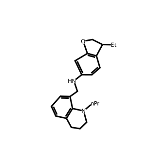 CCCN1CCCc2cccc(CNc3ccc4c(c3)OCC4CC)c21